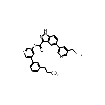 NCc1cncc(-c2ccc3[nH]nc(C(=O)Nc4cncc(-c5cccc(CCC(=O)O)c5)c4)c3c2)c1